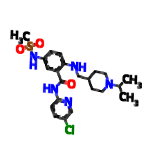 CC(C)N1CCC(CNc2ccc(NS(C)(=O)=O)cc2C(=O)Nc2ccc(Cl)cn2)CC1